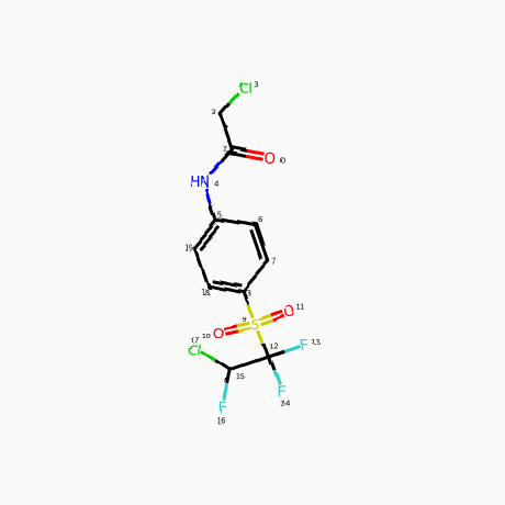 O=C(CCl)Nc1ccc(S(=O)(=O)C(F)(F)C(F)Cl)cc1